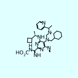 C=Nc1nc(C(=N)NC(=O)O)nc(N[C@H](C)C2CCC2)c1N(CC1CCCCC1)CN(C)C(C)c1ccccn1